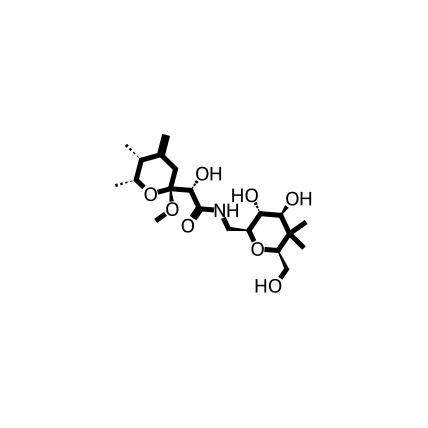 C=C1C[C@](OC)([C@H](O)C(=O)NC[C@@H]2O[C@H](CO)C(C)(C)[C@H](O)[C@H]2O)O[C@H](C)[C@@H]1C